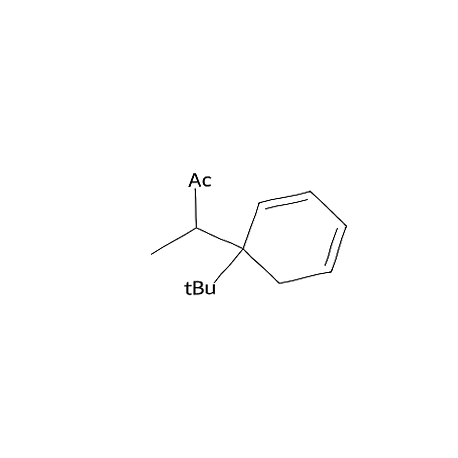 CC(=O)C(C)C1(C(C)(C)C)C=CC=CC1